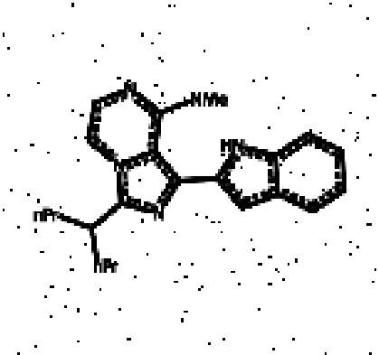 CCCC(CCC)c1nc(-c2cc3ccccc3[nH]2)c2c(NC)nccn12